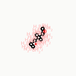 Bc1c(B)c(-c2c3c(B)c(B)c(B)c(B)c3c(-c3c(B)c(B)c4oc5c(B)c(B)c(B)c(B)c5c4c3B)c3c(B)c(B)c(B)c(B)c23)c(B)c(B)c1-c1c(B)c(B)c(B)c2c(B)c(B)c(B)c(B)c12